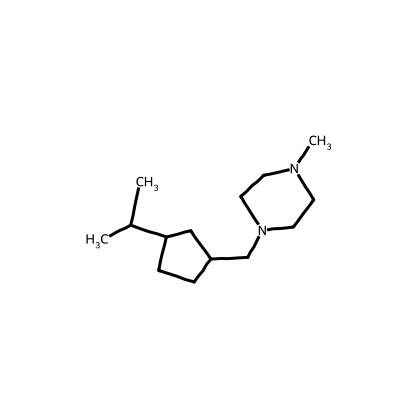 CC(C)C1CCC(CN2CCN(C)CC2)C1